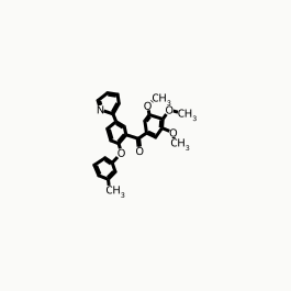 COc1cc(C(=O)c2cc(-c3ccccn3)ccc2Oc2cccc(C)c2)cc(OC)c1OC